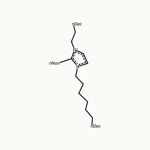 CCCCCCCCCCCCCCCCn1cc[n+](CCCCCCCCCCCC)c1CCCCCCCCC